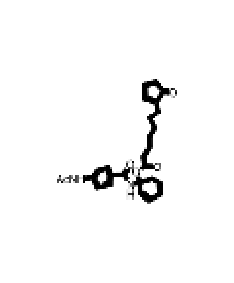 CC(=O)Nc1ccc(C(=O)NC2(OC(=O)CCCCCCC3=CCCC3=O)C=CC=CC2)cc1